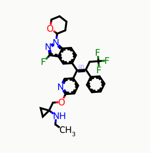 CCNC1(COc2ccc(/C(=C(/CC(F)(F)F)c3ccccc3)c3ccc4c(c3)c(F)nn4C3CCCCO3)cn2)CC1